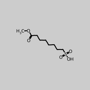 COC(=O)CCCCCCCS(=O)(=O)O